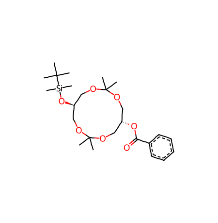 CC1(C)OC[C@H](OC(=O)c2ccccc2)COC(C)(C)OC[C@@H](O[Si](C)(C)C(C)(C)C)CO1